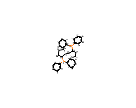 c1ccc(P(c2ccccc2)C2CCC[C@@H]2[C@H]2CCCC2P(c2ccccc2)c2ccccc2)cc1